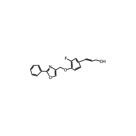 OCC=Cc1ccc(OCc2coc(-c3ccccc3)n2)c(F)c1